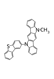 Cn1c2ccccc2c2cc3c(cc21)c1ccccc1n3-c1ccc2sc3ccccc3c2c1